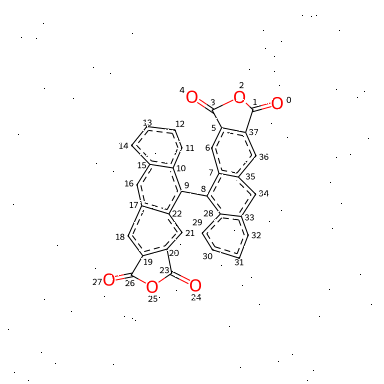 O=C1OC(=O)c2cc3c(-c4c5ccccc5cc5cc6c(cc45)C(=O)OC6=O)c4ccccc4cc3cc21